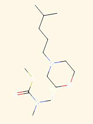 CSC(=O)N(C)C[C@@H]1CN(CCCC(C)C)CCO1